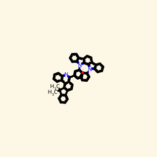 CC1(C)c2ccccc2-c2ccc3c(-c4cccc(-n5c6ccccc6c6ccc7c8ccccc8n(-c8ccccc8)c7c65)c4)nc4ccccc4c3c21